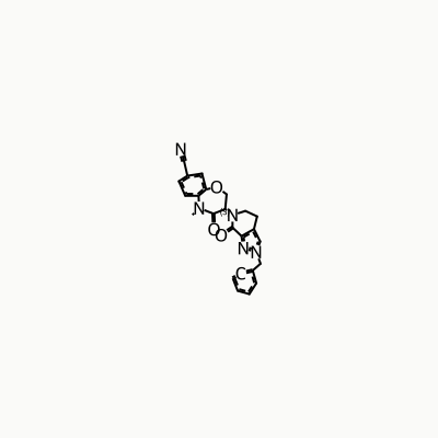 CN1C(=O)[C@@H](N2CCc3cn(Cc4ccccc4)nc3C2=O)COc2cc(C#N)ccc21